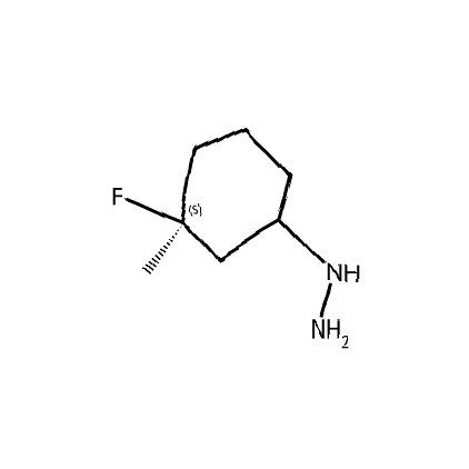 C[C@]1(F)CCCC(NN)C1